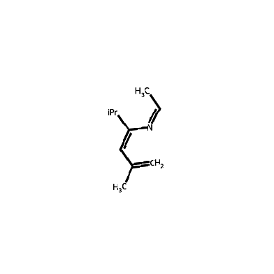 C=C(C)/C=C(\N=C/C)C(C)C